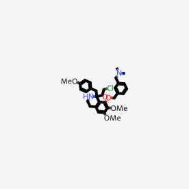 COc1ccc(CC2(C(=O)CCl)NCCc3cc(OC)c(OC)c(OCc4cccc(CN(C)C)c4)c32)cc1